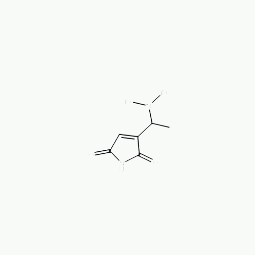 CCN(CC)C(C)C1=CC(=O)NC1=O